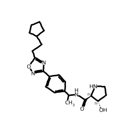 CC(NC(=O)[C@H]1NCC[C@@H]1O)c1ccc(-c2noc(CCC3CCCC3)n2)cc1